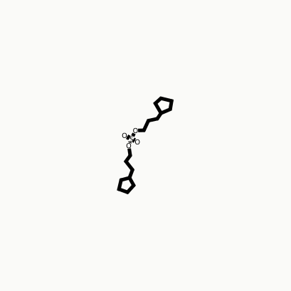 O=S(=O)(OCCCC1CCCC1)OCCCC1CCCC1